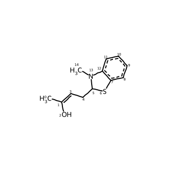 CC(O)=CCC1Sc2ccccc2N1C